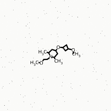 COCCN1C(C)CC(OC2CC(OC)C2)CC1C